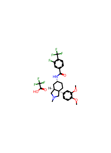 COc1ccc([C@@]23CC[C@@H](NC(=O)c4ccc(C(F)(F)F)c(F)c4)C[C@@H]2CN(C)C3)cc1OC.O=C(O)C(F)(F)F